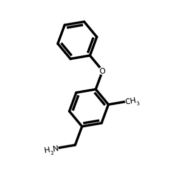 Cc1cc(CN)ccc1Oc1ccccc1